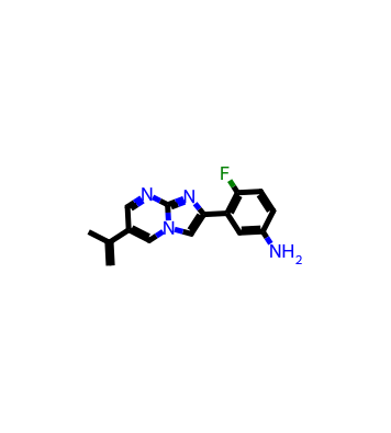 C=C(C)c1cnc2nc(-c3cc(N)ccc3F)cn2c1